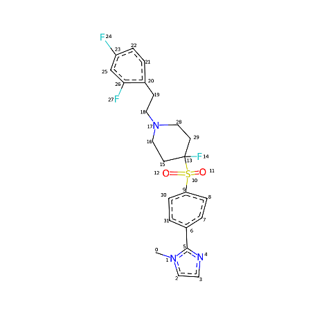 Cn1ccnc1-c1ccc(S(=O)(=O)C2(F)CCN(CCc3ccc(F)cc3F)CC2)cc1